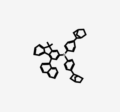 CC1(C)c2ccccc2-c2c(-c3cccc4ccccc34)cc(N(c3ccc(C4CC5CCC4C5)cc3)c3ccc(C4CC5CCC4C5)cc3)cc21